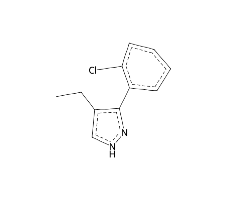 CCc1c[nH]nc1-c1ccccc1Cl